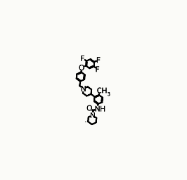 Cc1ccc(NC(=O)N2C[CH]CCC2)cc1C1CCN(Cc2ccc(Oc3cc(F)c(F)cc3F)cc2)CC1